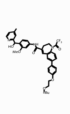 CCCCOCCOc1ccc(-c2ccc3c(c2)C=C(C(=O)Nc2ccc(C(O)c4cc(C)ccn4)c(OC)c2)CCN3C(=O)C(F)(F)F)cc1